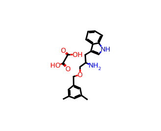 Cc1cc(C)cc(COCC(N)Cc2c[nH]c3ccccc23)c1.O=C(O)C(=O)O